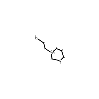 SCC[SH]1CCCSC1